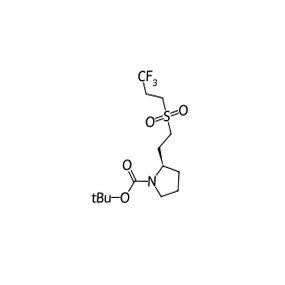 CC(C)(C)OC(=O)N1CCC[C@@H]1CCS(=O)(=O)CCC(F)(F)F